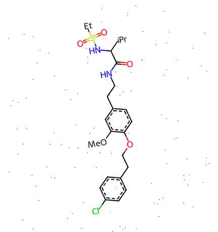 CCS(=O)(=O)NC(C(=O)NCCc1ccc(OCCc2ccc(Cl)cc2)c(OC)c1)C(C)C